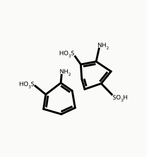 Nc1cc(S(=O)(=O)O)ccc1S(=O)(=O)O.Nc1ccccc1S(=O)(=O)O